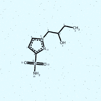 CCC(O)Cn1ccc(S(N)(=O)=O)n1